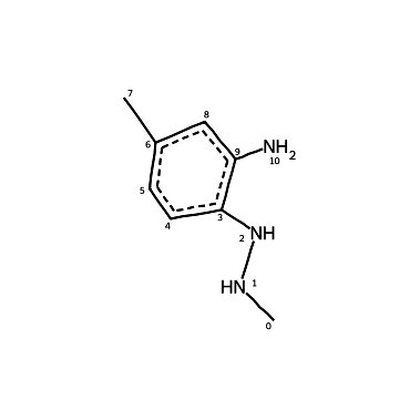 CNNc1ccc(C)cc1N